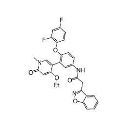 CCOc1cc(=O)n(C)cc1-c1cc(NC(=O)Cc2noc3ccccc23)ccc1Oc1ccc(F)cc1F